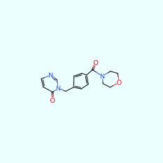 O=C(c1ccc(Cn2cnccc2=O)cc1)N1CCOCC1